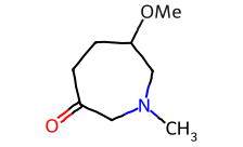 COC1CCC(=O)CN(C)C1